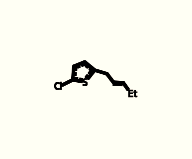 CCC=CCc1ccc(Cl)s1